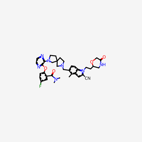 Cc1c(CN2CCC3(CCN(c4nccnc4Oc4ccc(F)cc4C(=O)N(C)C)C3)C2)ccc2c1cc(C#N)n2CCC1CNC(=O)CO1